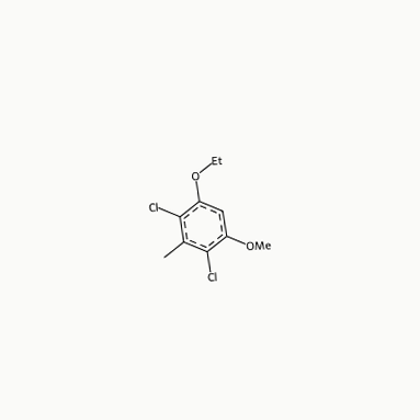 CCOc1cc(OC)c(Cl)c(C)c1Cl